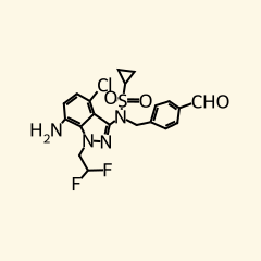 Nc1ccc(Cl)c2c(N(Cc3ccc(C=O)cc3)S(=O)(=O)C3CC3)nn(CC(F)F)c12